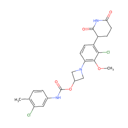 COc1c(N2CC(OC(=O)Nc3ccc(C)c(Cl)c3)C2)ccc(C2CCC(=O)NC2=O)c1Cl